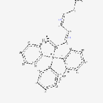 C=C(/C=C\C=C/CC)[Si](c1ccccc1)(c1ccccc1)c1ccccc1C